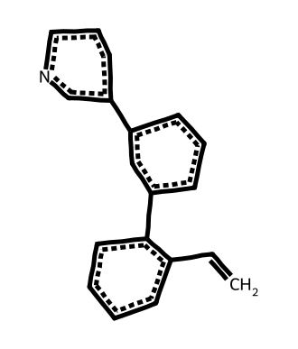 C=Cc1ccccc1-c1cccc(-c2cccnc2)c1